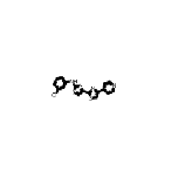 Clc1cccc(Nc2nc(-c3nc(-c4ccncc4)cs3)cs2)c1